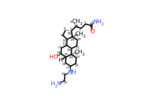 C[C@H](CCC(N)=O)[C@H]1CCC2C3C[C@@H](O)[C@H]4CC(NCCN)CC[C@]4(C)C3CC[C@@]21C